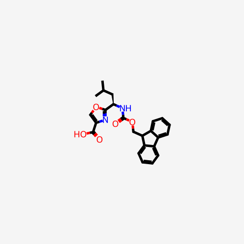 CC(C)C[C@@H](NC(=O)OCC1c2ccccc2-c2ccccc21)c1nc(C(=O)O)co1